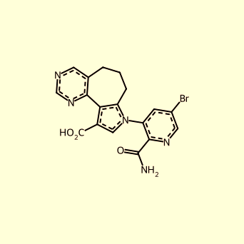 NC(=O)c1ncc(Br)cc1-n1cc(C(=O)O)c2c1CCCc1cncnc1-2